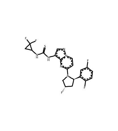 Fc1ccc(F)c([C@H]2C[C@H](F)CN2c2ccn3ncc(NC(=S)NC4CC4(F)F)c3n2)c1